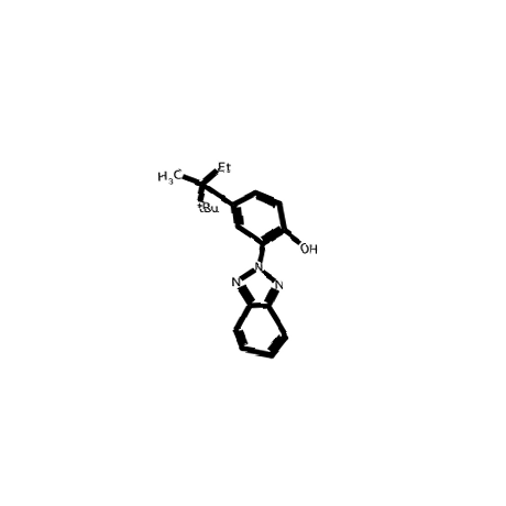 CCC(C)(c1ccc(O)c(-n2nc3ccccc3n2)c1)C(C)(C)C